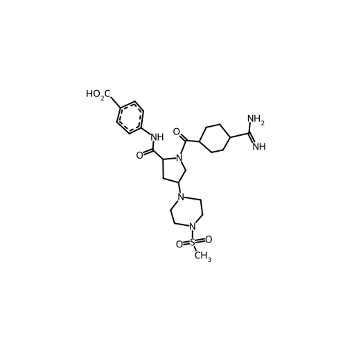 CS(=O)(=O)N1CCN(C2CC(C(=O)Nc3ccc(C(=O)O)cc3)N(C(=O)C3CCC(C(=N)N)CC3)C2)CC1